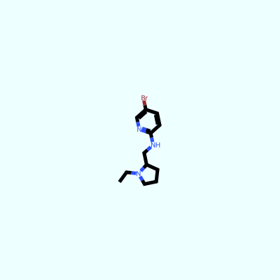 CCN1CCCC1CNc1ccc(Br)cn1